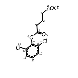 CCCCCCCCCCCC(=O)Oc1c(Cl)cccc1Cl